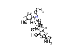 CO/N=C(/C(=O)NC1C(=O)N2C(C(=O)O)=C(COC(N)=O)CS[C@H]12)c1cccc(O)c1